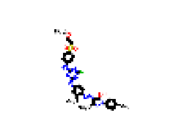 O=C(O)c1nn(-c2ccc(S(=O)(=O)O)cc2)c(O)c1/N=N/c1ccc(Nc2nc(Cl)nc(Nc3ccc(S(=O)(=O)CCOS(=O)(=O)O)cc3)n2)cc1S(=O)(=O)O